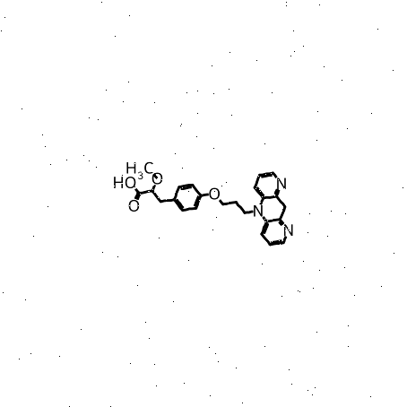 COC(Cc1ccc(OCCCN2c3cccnc3Cc3ncccc32)cc1)C(=O)O